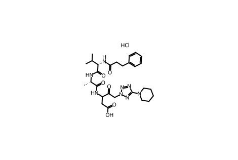 CC(C)[C@H](NC(=O)CCc1ccccc1)C(=O)N[C@@H](C)C(=O)NC(CC(=O)O)C(=O)Cn1nnc(N2CCCCC2)n1.Cl